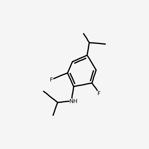 CC(C)Nc1c(F)cc(C(C)C)cc1F